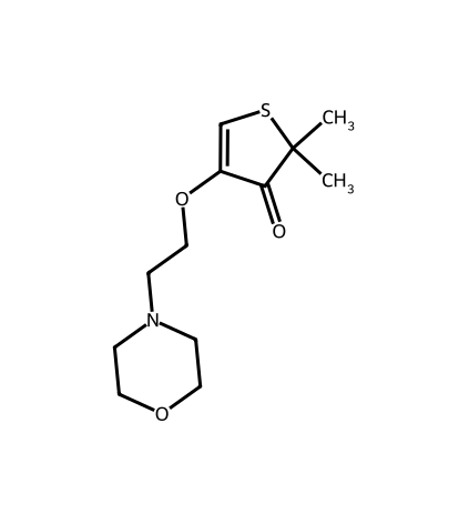 CC1(C)SC=C(OCCN2CCOCC2)C1=O